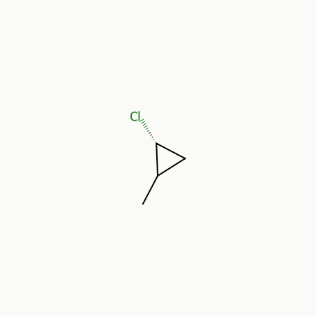 CC1C[C@H]1Cl